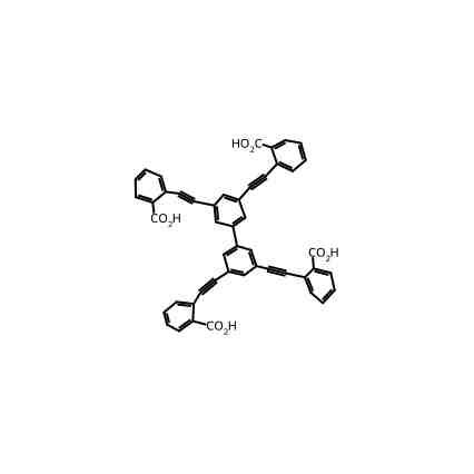 O=C(O)c1ccccc1C#Cc1cc(C#Cc2ccccc2C(=O)O)cc(-c2cc(C#Cc3ccccc3C(=O)O)cc(C#Cc3ccccc3C(=O)O)c2)c1